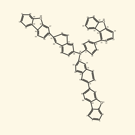 c1ccc2c(c1)oc1cc(-c3ccc4cc(N(c5ccc(-c6nccc7oc8ccccc8c67)cc5)c5ccc6cc(-c7ccc8c(c7)oc7ccccc78)ccc6c5)ccc4c3)ccc12